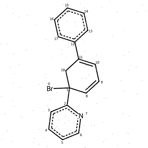 BrC1(c2ccccn2)C=CC=C(c2ccccc2)C1